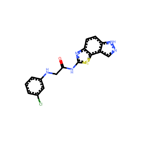 O=C(CNc1cccc(Cl)c1)Nc1nc2ccc3[nH]ncc3c2s1